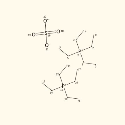 CC[P+](CC)(CC)CC.CC[P+](CC)(CC)CC.O=S(=O)([O-])[O-]